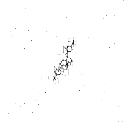 Cc1cc(Nc2ccc(C(F)(F)F)cn2)c2ccc(-c3ncc(C(=O)O)cc3Cl)nc2n1